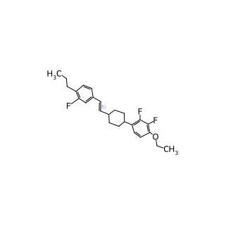 CCCc1ccc(/C=C/C2CCC(c3ccc(OCC)c(F)c3F)CC2)cc1F